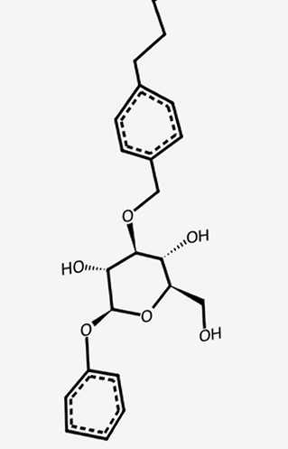 OCCCc1ccc(CO[C@@H]2[C@@H](O)[C@H](Oc3ccccc3)O[C@H](CO)[C@H]2O)cc1